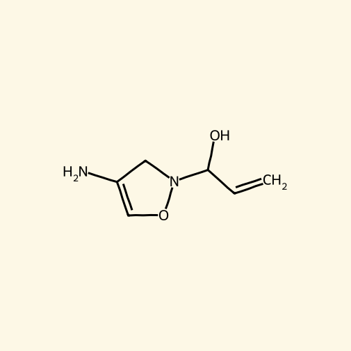 C=CC(O)N1CC(N)=CO1